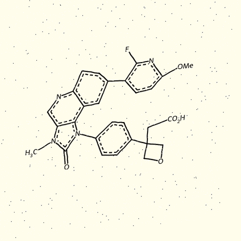 COc1ccc(-c2ccc3ncc4c(c3c2)n(-c2ccc(C3(CC(=O)O)COC3)cc2)c(=O)n4C)c(F)n1